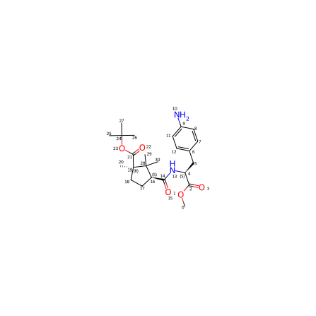 COC(=O)[C@H](Cc1ccc(N)cc1)NC(=O)[C@H]1CC[C@@](C)(C(=O)OC(C)(C)C)C1(C)C